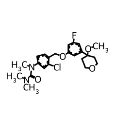 COC1(c2cc(F)cc(OCc3ccc(N(C)C(=O)N(C)C)cc3Cl)c2)CCOCC1